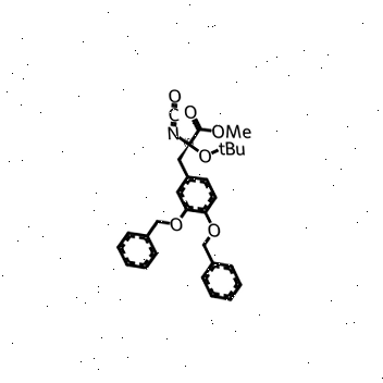 COC(=O)[C@@](Cc1ccc(OCc2ccccc2)c(OCc2ccccc2)c1)(N=C=O)OC(C)(C)C